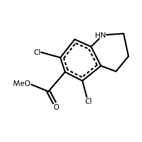 COC(=O)c1c(Cl)cc2c(c1Cl)CCCN2